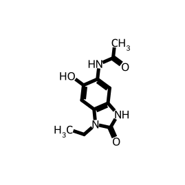 CCn1c(=O)[nH]c2cc(NC(C)=O)c(O)cc21